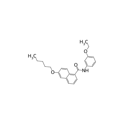 CCCCCOc1ccc2c(C(=O)Nc3cccc(OCC)c3)cccc2c1